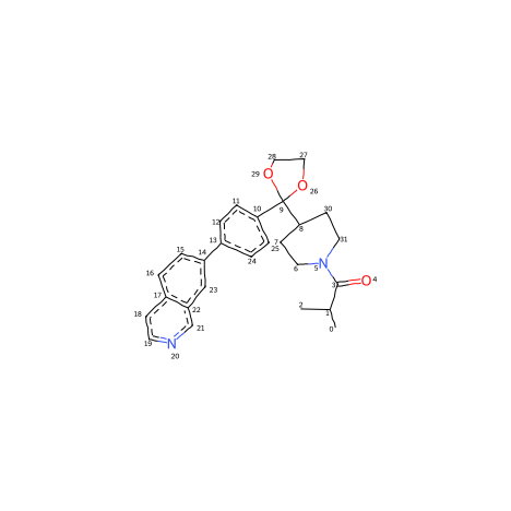 CC(C)C(=O)N1CCC(C2(c3ccc(-c4ccc5ccncc5c4)cc3)OCCO2)CC1